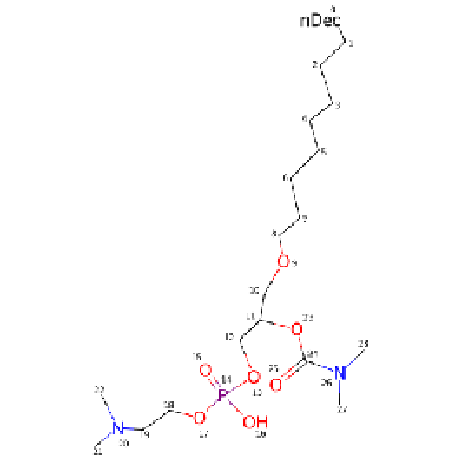 CCCCCCCCCCCCCCCCCCOCC(COP(=O)(O)OCCN(C)C)OC(=O)N(C)C